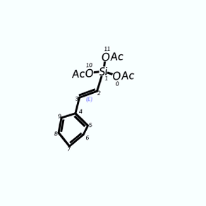 CC(=O)O[Si](/C=C/c1ccccc1)(OC(C)=O)OC(C)=O